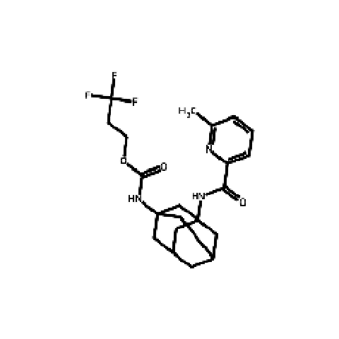 Cc1cccc(C(=O)NC23CC4CC(CC(NC(=O)OCCC(F)(F)F)(C4)C2)C3)n1